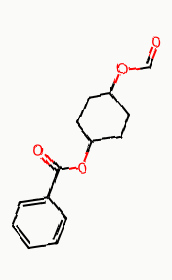 O=COC1CCC(OC(=O)c2ccccc2)CC1